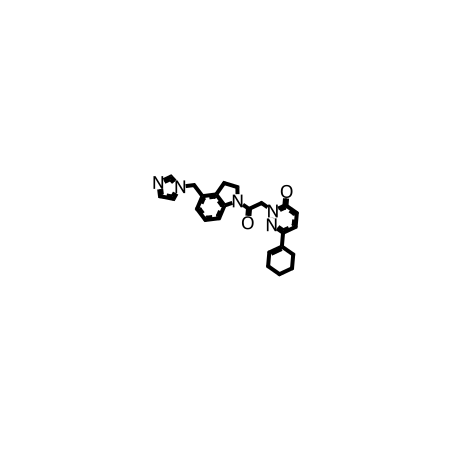 O=C(Cn1nc(C2=CCCCC2)ccc1=O)N1CCc2c(Cn3ccnc3)cccc21